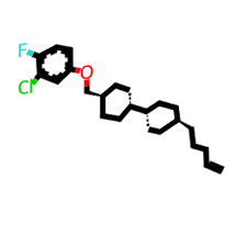 C=CCCC[C@H]1CC[C@H]([C@H]2CC[C@H](COc3ccc(F)c(Cl)c3)CC2)CC1